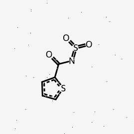 O=C(N=S(=O)=O)c1cccs1